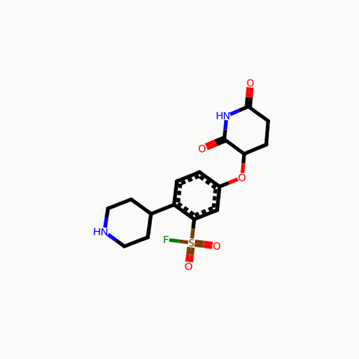 O=C1CCC(Oc2ccc(C3CCNCC3)c(S(=O)(=O)F)c2)C(=O)N1